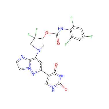 O=C(Nc1c(F)cc(F)cc1F)OC1CN(c2cc(-c3c[nH]c(=O)[nH]c3=O)nn3ccnc23)CC1(F)F